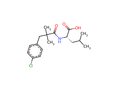 CC(C)C[C@H](NC(=O)C(C)(C)Cc1ccc(Cl)cc1)C(=O)O